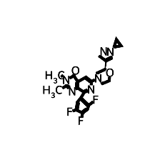 Cc1nc2c(-c3cc(F)c(F)cc3F)nc(N3CCO[C@H](c4cnn(C5CC5)c4)C3)cc2c(=O)n1C